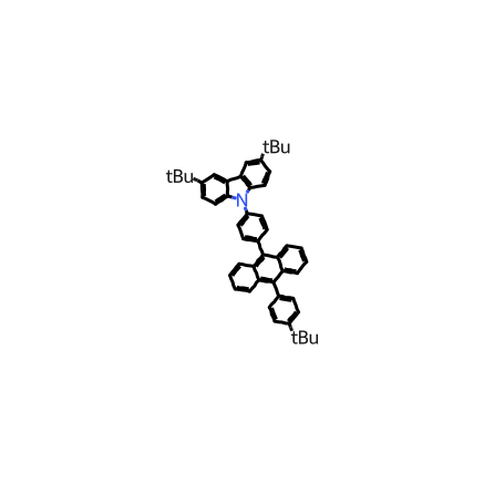 CC(C)(C)c1ccc(-c2c3ccccc3c(-c3ccc(-n4c5ccc(C(C)(C)C)cc5c5cc(C(C)(C)C)ccc54)cc3)c3ccccc23)cc1